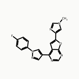 Cn1cnc(-c2cc3c(-c4cnn(-c5ccc(F)cc5)c4)ncnc3o2)c1